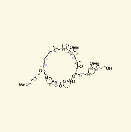 COCCOCCOC1C[C@@H]2CC[C@@H](C)[C@@](O)(O2)C(=O)C(=O)N2CCCC[C@H]2C(=O)O[C@H]([C@H](C)CC[C@@H]2CC[C@@H](OCCO)[C@H](OC)C2)CC(=O)[C@H](C)/C=C(\C)[C@@H](O)[C@@H](OC)C(=O)[C@H](C)C[C@H](C)/C=C/C=C/C=C/1C